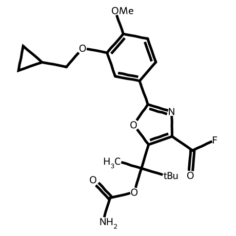 COc1ccc(-c2nc(C(=O)F)c(C(C)(OC(N)=O)C(C)(C)C)o2)cc1OCC1CC1